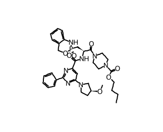 CCCCOC(=O)N1CCN(C(=O)[C@H](CP2(=O)Nc3ccccc3CO2)NC(=O)c2cc(N3CC[C@H](OC)C3)nc(-c3ccccc3)n2)CC1